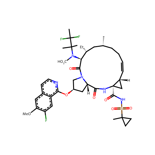 CC[C@@H]1C[C@H](C)CCC=C[C@@H]2C[C@@]2(C(=O)NS(=O)(=O)C2(C)CC2)NC(=O)[C@@H]2C[C@@H](Oc3nccc4cc(OC)c(F)cc34)CN2C(=O)[C@H]1N(C(=O)O)C(C)(C)C(C)(F)F